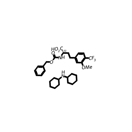 C1CCC(NC2CCCCC2)CC1.COc1cc(CC[C@H](NC(=O)OCc2ccccc2)C(=O)O)ccc1C(F)(F)F